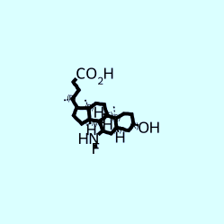 C[C@H](CCC(=O)O)C1CC[C@H]2[C@@H]3C(NF)C[C@@H]4C[C@H](O)CC[C@]4(C)[C@H]3CC[C@]12C